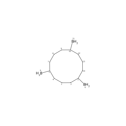 BC1CCCC(B)CCCC(B)CCC1